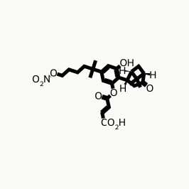 CC(C)(CCCCO[N+](=O)[O-])c1cc(O)c([C@H]2CC(=O)[C@H]3C[C@H]2C3(C)C)c(OC(=O)/C=C/C(=O)O)c1